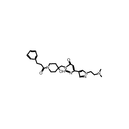 CN(C)CCn1cc(-c2cc(=O)n(CC3(O)CCN(C(=O)CCc4ccccc4)CC3)cn2)cn1